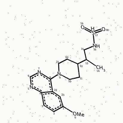 COc1ccc2ncnc(N3CCC(C(C)CN[SH](=O)=O)CC3)c2c1